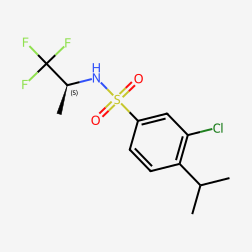 CC(C)c1ccc(S(=O)(=O)N[C@@H](C)C(F)(F)F)cc1Cl